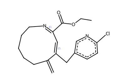 C=C1CCCCC/N=C(C(=O)OCC)\C=C/1Cc1ccc(Cl)nc1